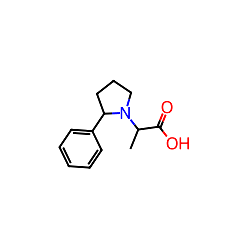 CC(C(=O)O)N1CCCC1c1ccccc1